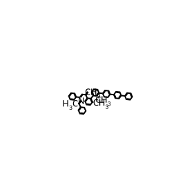 C=C(/C=C(\N=C(/C)C1=CC=CCC1)c1ccccc1)c1cccc(C)c1-c1cccc(C2=CC=C(c3ccc(-c4ccccc4)cc3)CC2)c1C